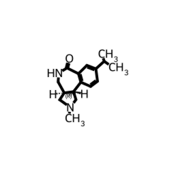 CC(C)c1ccc2c(c1)C(=O)NC[C@@H]1CN(C)C[C@@H]21